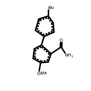 CCC(C)c1ccc(-c2ccc(OC)cc2C(N)=O)cc1